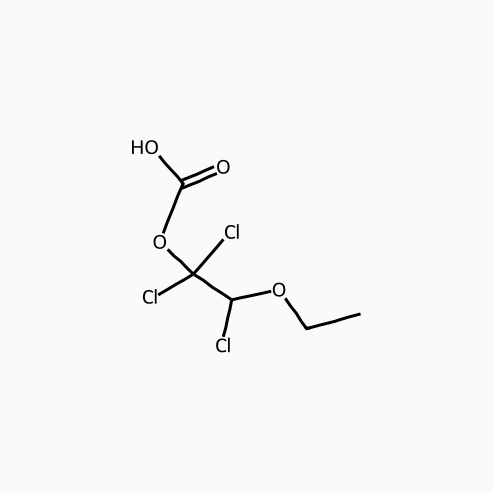 CCOC(Cl)C(Cl)(Cl)OC(=O)O